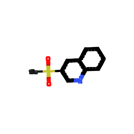 CC(C)(C)S(=O)(=O)c1cnc2ccccc2c1